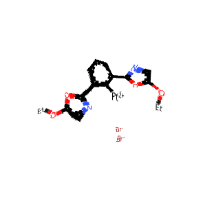 CCOc1cnc(-c2cccc(-c3ncc(OCC)o3)[c]2[Pt+2])o1.[Br-].[Br-]